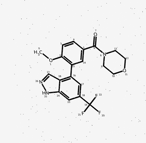 COc1ccc(C(=O)N2CCOCC2)cc1-c1cc(C(F)(F)F)cc2[nH]ncc12